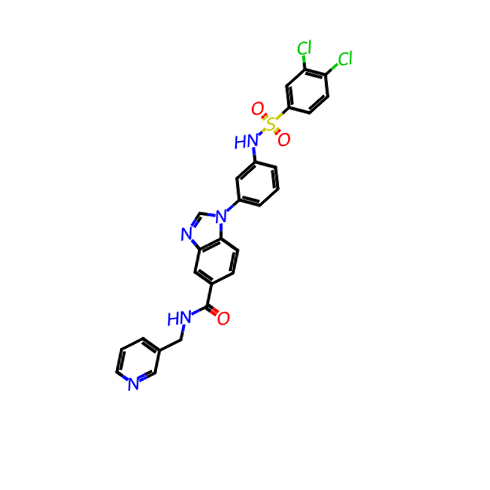 O=C(NCc1cccnc1)c1ccc2c(c1)ncn2-c1cccc(NS(=O)(=O)c2ccc(Cl)c(Cl)c2)c1